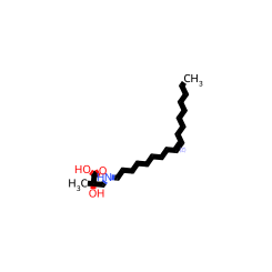 CCCCCCCC/C=C\CCCCCCCCNCC(C)(O)C(=O)O